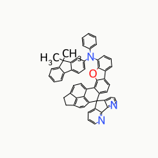 CC1(C)c2ccccc2-c2ccc(N(c3ccccc3)c3cccc4c3oc3c5c(ccc34)C3(c4cccnc4-c4ncccc43)c3ccc4c6c(ccc-5c36)CC4)cc21